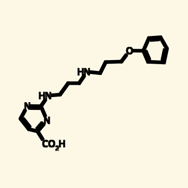 O=C(O)c1ccnc(NCCCNCCCOc2ccccc2)n1